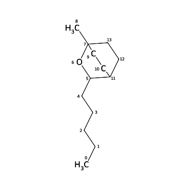 CCCCCC1OC2(C)CCC1CC2